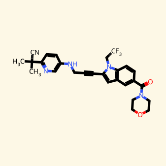 CC(C)(C#N)c1ccc(NCC#Cc2cc3cc(C(=O)N4CCOCC4)ccc3n2CC(F)(F)F)cn1